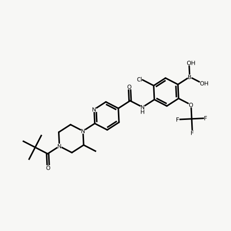 CC1CN(C(=O)C(C)(C)C)CCN1c1ccc(C(=O)Nc2cc(OC(F)(F)F)c(B(O)O)cc2Cl)cn1